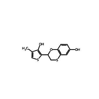 Cc1csc(C2CSc3cc(O)ccc3O2)c1O